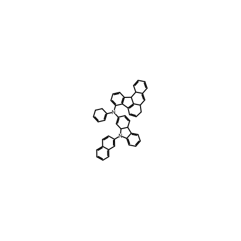 C1=CCCC(N(C2=CC3C(C=C2)c2ccccc2N3c2ccc3ccccc3c2)c2cccc3c2C2=C4C(C=C5C=CC=CC5C43)CC=C2)=C1